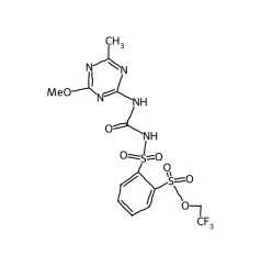 COc1nc(C)nc(NC(=O)NS(=O)(=O)c2ccccc2S(=O)(=O)OCC(F)(F)F)n1